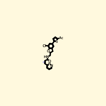 CC(=O)c1ccc(-c2cc(Cl)c3c(c2)CC(CNC(=O)/C=C\c2cccnn2)O3)s1